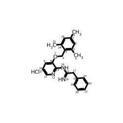 Cc1cc(C)c(COc2cccnc2NC(=N)Cc2ccccc2)c(C)c1.Cl